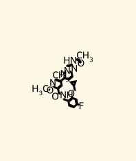 COc1nc(C)c(-c2ccc3nc(NC(C)=O)cn3n2)cc1C(=O)NCc1ccc(F)cc1OCC1CC1